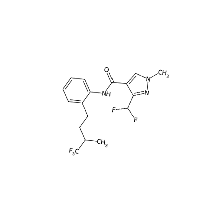 CC(CCc1ccccc1NC(=O)c1cn(C)nc1C(F)F)C(F)(F)F